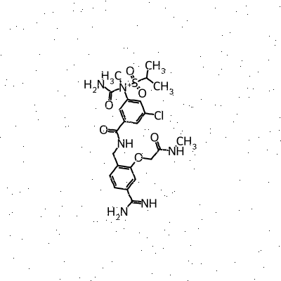 CNC(=O)COc1cc(C(=N)N)ccc1CNC(=O)c1cc(Cl)cc([N+](C)(C(N)=O)S(=O)(=O)C(C)C)c1